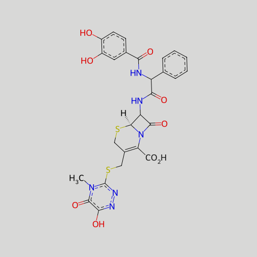 Cn1c(SCC2=C(C(=O)O)N3C(=O)C(NC(=O)C(NC(=O)c4ccc(O)c(O)c4)c4ccccc4)[C@@H]3SC2)nnc(O)c1=O